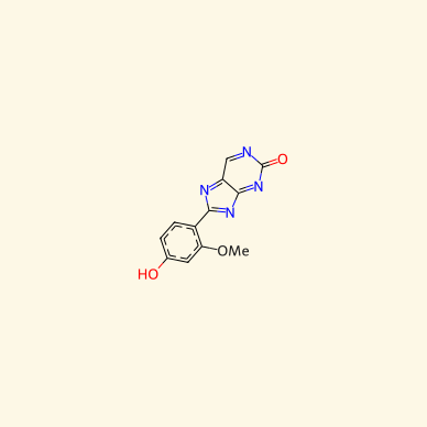 COc1cc(O)ccc1C1=NC2=NC(=O)N=CC2=N1